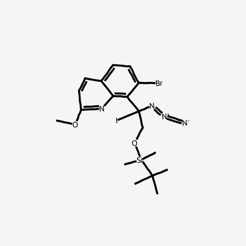 COc1ccc2ccc(Br)c(C(I)(CO[Si](C)(C)C(C)(C)C)N=[N+]=[N-])c2n1